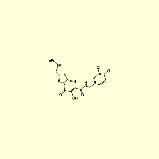 CCCNCc1cn2c(=O)c(O)c(C(=O)NCc3ccc(Cl)c(Cl)c3)nc2s1